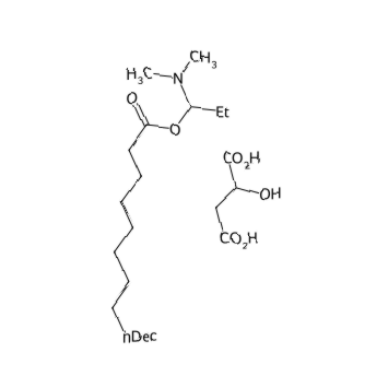 CCCCCCCCCCCCCCCCCC(=O)OC(CC)N(C)C.O=C(O)CC(O)C(=O)O